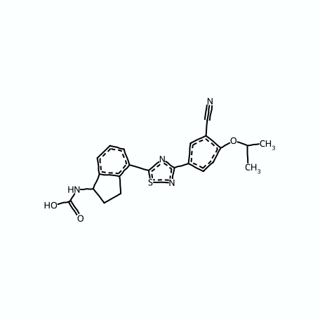 CC(C)Oc1ccc(-c2nsc(-c3cccc4c3CCC4NC(=O)O)n2)cc1C#N